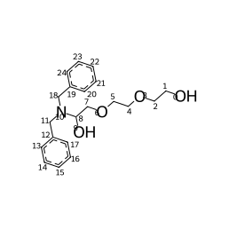 OCCOCCOCC(O)N(Cc1ccccc1)Cc1ccccc1